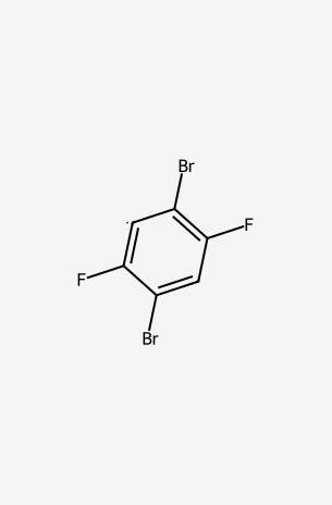 Fc1[c]c(Br)c(F)cc1Br